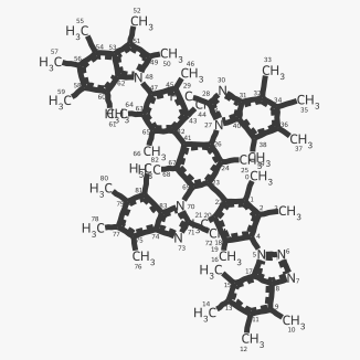 Cc1c(C)c(-n2nnc3c(C)c(C)c(C)c(C)c32)c(C)c(C)c1-c1c(C)c(-n2c(C)nc3c(C)c(C)c(C)c(C)c32)c(-c2c(C)c(C)c(-n3c(C)c(C)c4c(C)c(C)c(C)c(C)c43)c(C)c2C)c(C)c1-n1c(C)nc2c(C)c(C)c(C)c(C)c21